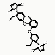 CCc1cc(Oc2cccc(C)c2Oc2ccc(N3C(=O)C=CC3=O)c(CC)c2)ccc1N1C(=O)C=CC1=O